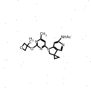 CC(=O)Nc1cc2c(cn1)C1(CC1)CN2c1cc(C)nc(OC2(C)COC2)n1